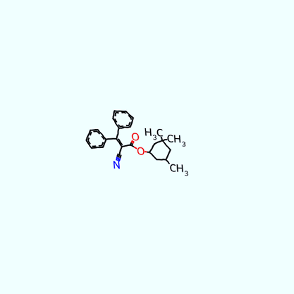 CC1CC(OC(=O)C(C#N)=C(c2ccccc2)c2ccccc2)CC(C)(C)C1